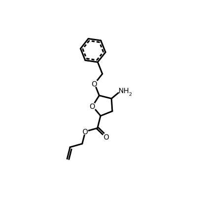 C=CCOC(=O)C1CC(N)C(OCc2ccccc2)O1